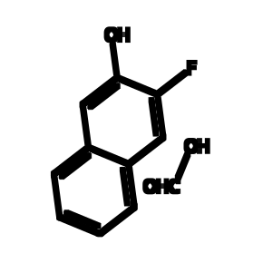 O=CO.Oc1cc2ccccc2cc1F